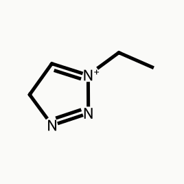 CC[N+]1=CCN=N1